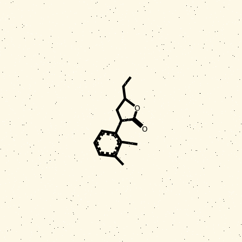 CCC1CC(c2cccc(C)c2C)C(=O)O1